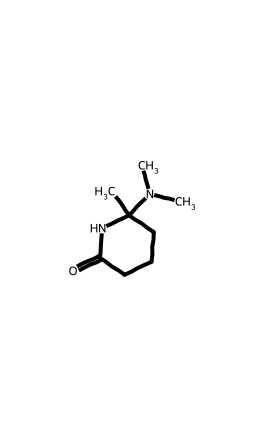 CN(C)C1(C)CCCC(=O)N1